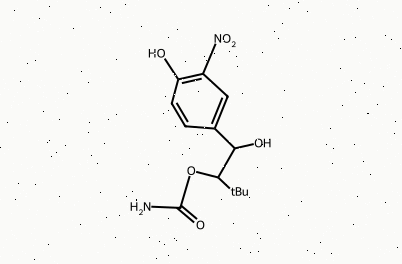 CC(C)(C)C(OC(N)=O)C(O)c1ccc(O)c([N+](=O)[O-])c1